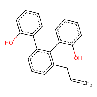 C=CCc1cccc(-c2ccccc2O)c1-c1ccccc1O